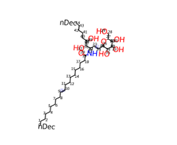 CCCCCCCCCCCCCCCCCC/C=C/CCCCCCCCC(=O)N[C@@H](/C=C/[C@H]1OC(CO)[C@H](O)[C@H](O)C1O)[C@H](O)[C@@H](O)CCCCCCCCCCCCCC